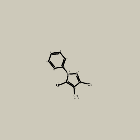 Cc1c(Cl)nn(-c2ccccc2)c1Cl